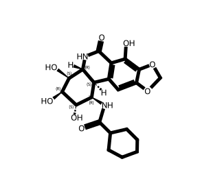 O=C1N[C@H]2[C@H](O)[C@H](O)[C@@H](O)[C@H](NC(=O)C3CCCCC3)[C@@H]2c2cc3c(c(O)c21)OCO3